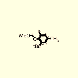 COCOc1c(I)cc(C)cc1C(C)(C)C